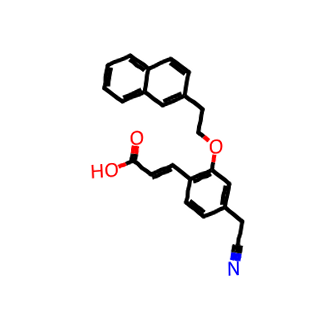 N#CCc1ccc(C=CC(=O)O)c(OCCc2ccc3ccccc3c2)c1